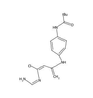 C=C(/C=C(Cl)\N=C/N)Nc1ccc(NC(=O)C(C)(C)C)cc1